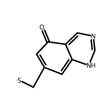 O=c1cc(C[S])cc2[nH]cncc1-2